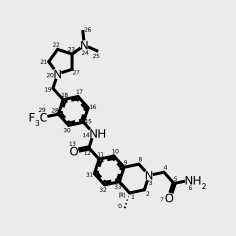 C[C@H]1CN(CC(N)=O)Cc2cc(C(=O)Nc3ccc(CN4CCC(N(C)C)C4)c(C(F)(F)F)c3)ccc21